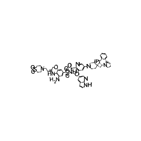 CC(C)c1ccccc1[C@@H]1CCCN1C1CC2(CCN(c3cnc(C(=O)NS(=O)(=O)c4cc(N)c5c(c4)OC[C@H](CCN4CCS(=O)(=O)CC4)N5)c(Oc4cnc5[nH]ccc5c4)c3)CC2)C1